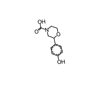 O=C(O)N1CCOC(c2ccc(O)cc2)C1